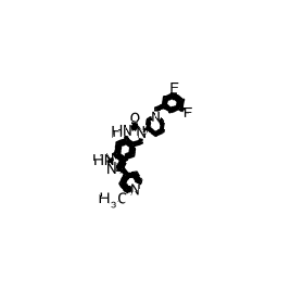 Cc1cc(-c2n[nH]c3cc4c(cc23)CN([C@@H]2CCCN(Cc3cc(F)cc(F)c3)C2)C(=O)N4)ccn1